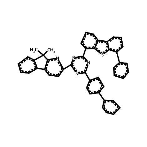 CC1(C)c2ccccc2-c2ccc(-c3nc(-c4ccc(-c5ccccc5)cc4)nc(-c4cccc5c4sc4c(-c6ccccc6)cccc45)n3)nc21